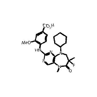 COc1cc(C(=O)O)ccc1Nc1ncc2c(n1)N(C1CCCCC1)CC(C)(F)C(=O)N2C